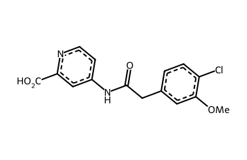 COc1cc(CC(=O)Nc2ccnc(C(=O)O)c2)ccc1Cl